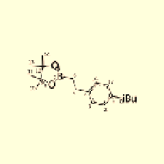 CCC(C)c1ccc(CCB2OC(C)(C)C(C)(C)O2)cc1